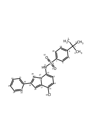 CC(C)(C)c1ccc(S(=O)(=O)Nc2ccc(Cl)c3cc(-c4ccccn4)nn23)cc1